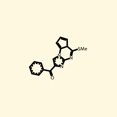 CSC1=Nc2nc(C(=O)c3ccccc3)cn2C2=CC=CC21